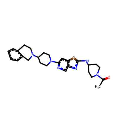 CC(=O)N1CCC(Nc2nc3cnc(N4CCC(N5CCc6ccccc6C5)CC4)cc3s2)CC1